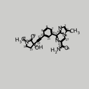 Cc1cnc2c(-c3cccc(C#C[C@]4(O)CCN(C)C4=O)c3)nc(C(N)=O)cn12